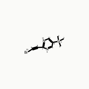 C[Si](C)(C)c1cnc(C#CBr)nc1